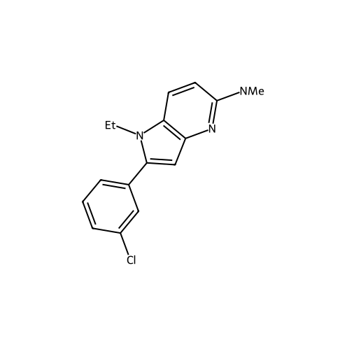 CCn1c(-c2cccc(Cl)c2)cc2nc(NC)ccc21